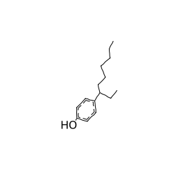 CCCCCCC(CC)c1ccc(O)cc1